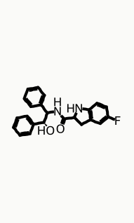 O=C(NC(c1ccccc1)[C@H](O)c1ccccc1)C1Cc2cc(F)ccc2N1